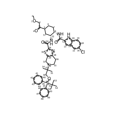 COCC(=O)C1CC[C@H](NC(=O)c2cc3cc(Cl)ccc3[nH]2)[C@H](NC(=O)c2nc3c(s2)CN(C(C)(C)CO[Si](c2ccccc2)(c2ccccc2)C(C)(C)C)CC3)C1